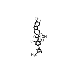 Cc1ccc2c3c(nn2c1)CC[C@@](CO)(NC(=O)c1c(Cl)cc(-n2cnc(C)n2)cc1Cl)C3